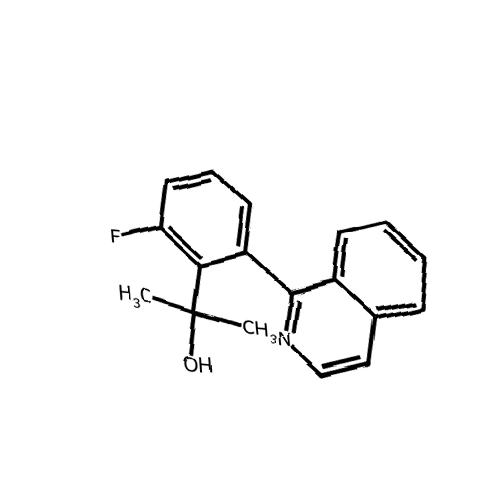 CC(C)(O)c1c(F)cccc1-c1nccc2ccccc12